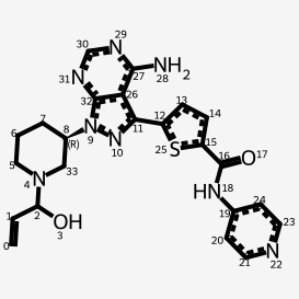 C=CC(O)N1CCC[C@@H](n2nc(-c3ccc(C(=O)Nc4ccncc4)s3)c3c(N)ncnc32)C1